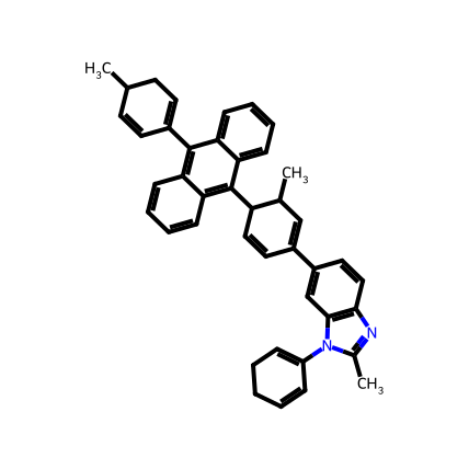 Cc1nc2ccc(C3=CC(C)C(c4c5ccccc5c(C5=CCC(C)C=C5)c5ccccc45)C=C3)cc2n1C1=CCCC=C1